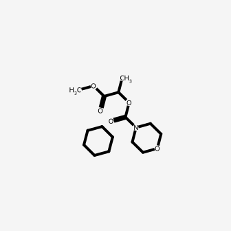 C1CCCCC1.COC(=O)C(C)OC(=O)N1CCOCC1